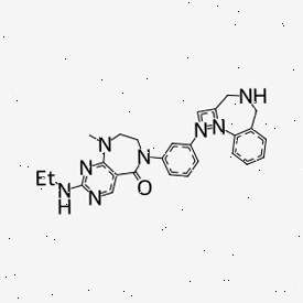 CCNc1ncc2c(n1)N(C)CCN(c1cccc(-n3cc4n3-c3ccccc3CNC4)c1)C2=O